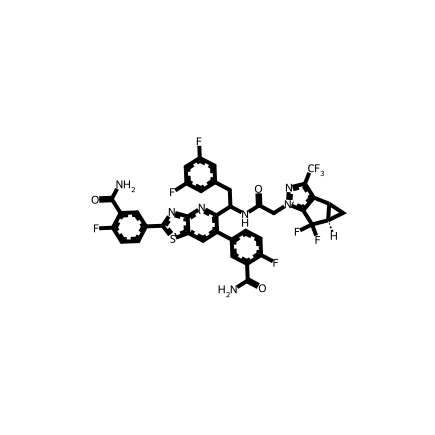 NC(=O)c1cc(-c2nc3nc(C(Cc4cc(F)cc(F)c4)NC(=O)Cn4nc(C(F)(F)F)c5c4C(F)(F)[C@@H]4CC54)c(-c4ccc(F)c(C(N)=O)c4)cc3s2)ccc1F